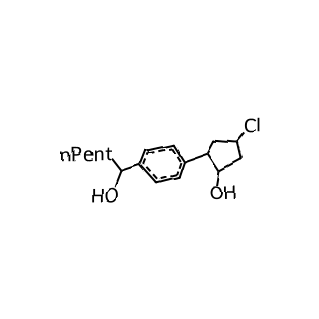 CCCCCC(O)c1ccc(C2CC(Cl)CC2O)cc1